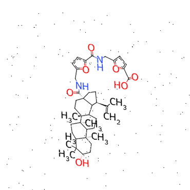 C=C(C)[C@@H]1CC[C@]2(C(=O)NCc3ccc(C(=O)NCc4ccc(C(=O)O)o4)o3)CC[C@]3(C)C(CCC4[C@@]5(C)CC[C@H](O)C(C)(C)C5CC[C@]43C)C12